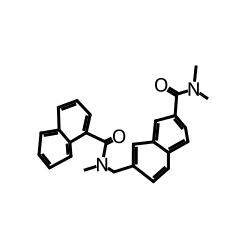 CN(C)C(=O)c1ccc2ccc(CN(C)C(=O)c3cccc4ccccc34)cc2c1